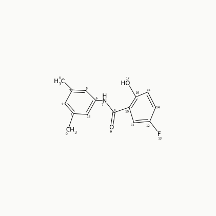 Cc1cc(C)cc(NC(=O)c2cc(F)ccc2O)c1